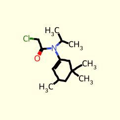 CC1C=C(N(C(=O)CCl)C(C)C)CC(C)(C)C1